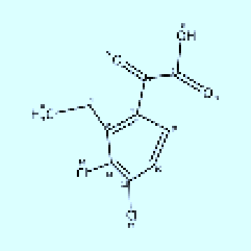 CCc1c(C(=O)C(=O)O)ccc(Cl)c1Cl